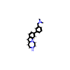 CN(C)Cc1cccc(-c2ccc3c(c2)N2CCNCCC2C3)c1